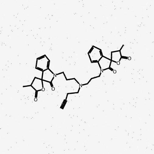 C#CCCN(CCCN1C(=O)C2(CC(C)C(=O)O2)c2ccccc21)CCCN1C(=O)C2(CC(C)C(=O)O2)c2ccccc21